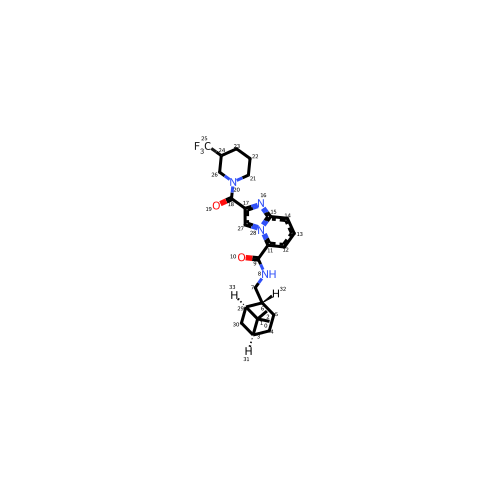 CC1(C)[C@H]2CC[C@@H](CNC(=O)c3cccc4nc(C(=O)N5CCCC(C(F)(F)F)C5)cn34)[C@@H]1C2